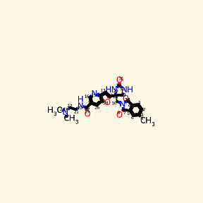 Cc1ccc2c(c1)C(=O)N(C[C@@]1(c3cc4ncc(C(=O)NCCN(C)C)cc4o3)NC(=O)NC1=O)C2